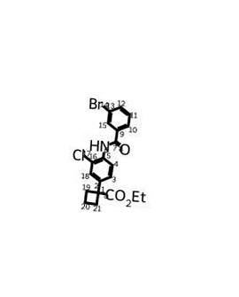 CCOC(=O)C1(c2ccc(NC(=O)c3cccc(Br)c3)c(Cl)c2)CCC1